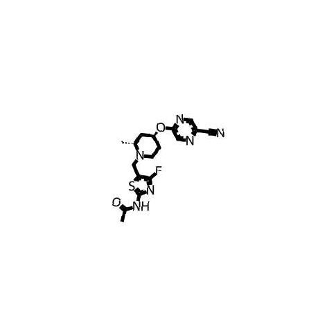 CC(=O)Nc1nc(F)c(CN2CC[C@H](Oc3cnc(C#N)cn3)C[C@H]2C)s1